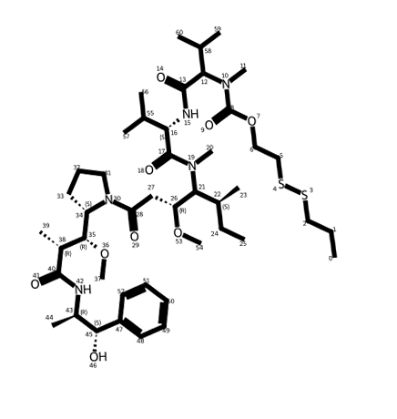 CCCSSCCOC(=O)N(C)C(C(=O)N[C@H](C(=O)N(C)C([C@@H](C)CC)[C@@H](CC(=O)N1CCC[C@H]1[C@H](OC)[C@@H](C)C(=O)N[C@H](C)[C@@H](O)c1ccccc1)OC)C(C)C)C(C)C